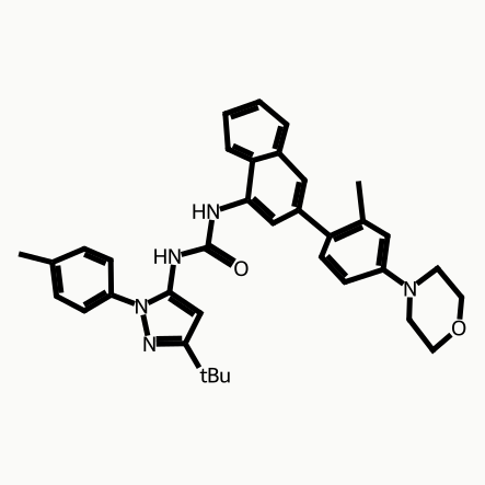 Cc1ccc(-n2nc(C(C)(C)C)cc2NC(=O)Nc2cc(-c3ccc(N4CCOCC4)cc3C)cc3ccccc23)cc1